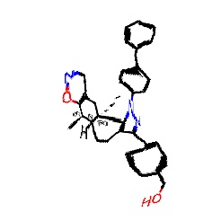 C[C@H]1c2oncc2C[C@@]2(C)c3c(c(-c4ccc(CO)cc4)nn3-c3ccc(-c4ccccc4)cc3)CC[C@H]12